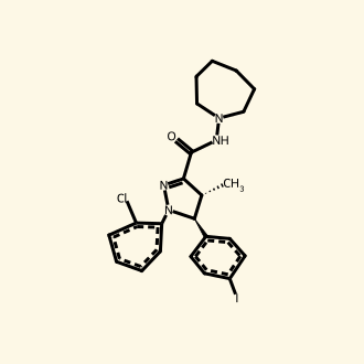 C[C@H]1C(C(=O)NN2CCCCCC2)=NN(c2ccccc2Cl)[C@@H]1c1ccc(I)cc1